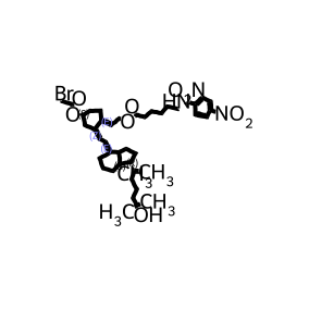 CC(CCCC(C)(C)O)[C@H]1CCC2/C(=C/C=C3/C[C@@H](OC(=O)CBr)CC/C3=C\COC(=O)CCCCCNc3ccc([N+](=O)[O-])cc3[N+](=O)[O-])CCC[C@@]21C